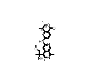 COCC(C)(N)c1cnc(C)c2cnc(Nc3ccc4c(n3)[C@@H](C)[C@H](C)OC4=O)cc12